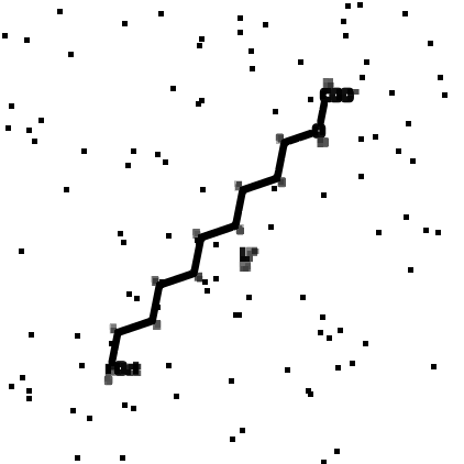 CCCCCCCCCCCCCCCCCOC(=O)[O-].[Li+]